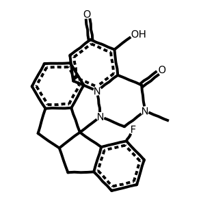 CN1CN(C23c4ccccc4CC2Cc2cccc(F)c23)n2ccc(=O)c(O)c2C1=O